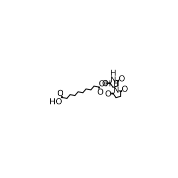 O=C(O)CCCCCCCCC(=O)O.O=C1CCC(=O)N1.O=C1CCC(=O)N1